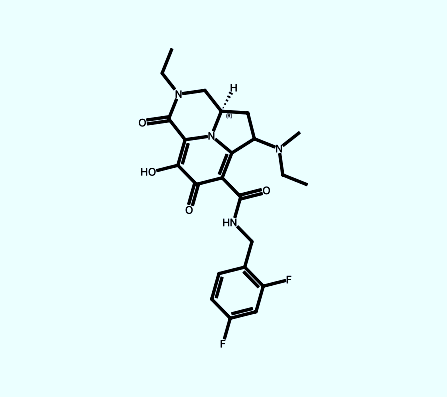 CCN1C[C@H]2CC(N(C)CC)c3c(C(=O)NCc4ccc(F)cc4F)c(=O)c(O)c(n32)C1=O